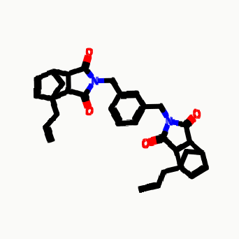 C=CCC12C=CC(C1)C1C(=O)N(Cc3cccc(CN4C(=O)C5C6C=CC(CC=C)(C6)C5C4=O)c3)C(=O)C12